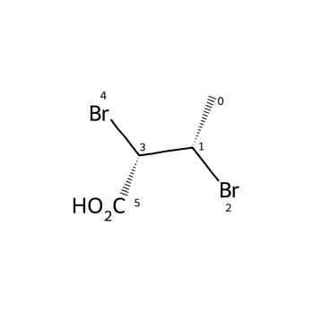 C[C@H](Br)[C@@H](Br)C(=O)O